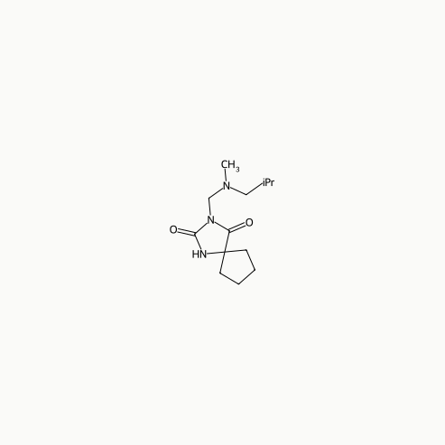 CC(C)CN(C)CN1C(=O)NC2(CCCC2)C1=O